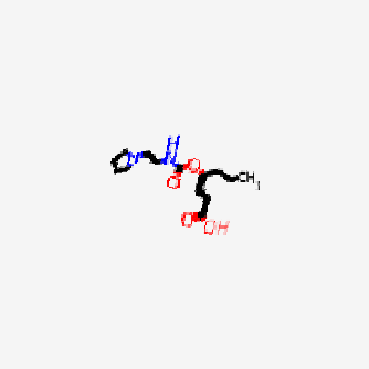 CCCC(CCC(=O)O)OC(=O)NCCN1CCCC1